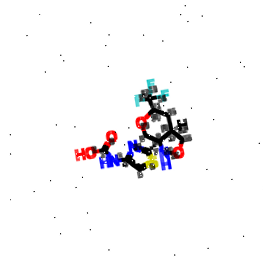 O=C(O)Nc1csc([C@]23CO[C@@H](C(F)(F)F)C[C@H]2CON3)n1